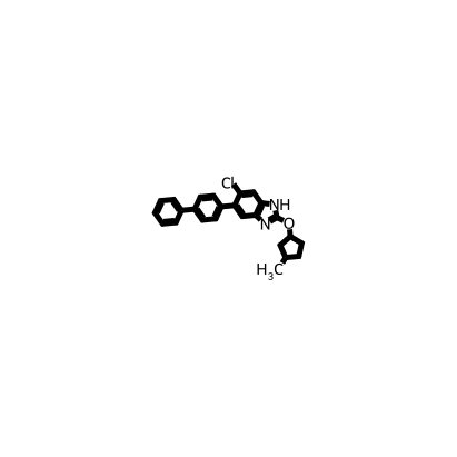 CC1CCC(Oc2nc3cc(-c4ccc(-c5ccccc5)cc4)c(Cl)cc3[nH]2)C1